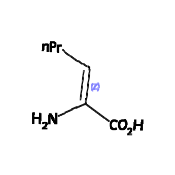 CCC/C=C(\N)C(=O)O